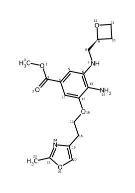 COC(=O)c1cc(NC[C@@H]2CCO2)c(N)c(OCCc2coc(C)n2)c1